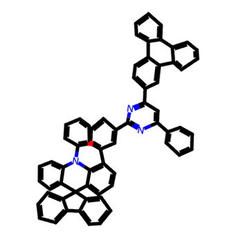 c1ccc(-c2cc(-c3ccc4c5ccccc5c5ccccc5c4c3)nc(-c3cccc(-c4cccc5c4N(c4ccccc4)c4ccccc4C54c5ccccc5-c5ccccc54)c3)n2)cc1